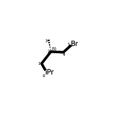 CC(C)C[C@H](C)CBr